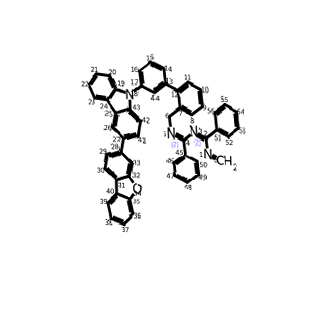 C=N/C(=N\C(=N/Cc1ccccc1-c1cccc(-n2c3ccccc3c3cc(-c4ccc5c(c4)oc4ccccc45)ccc32)c1)c1ccccc1)c1ccccc1